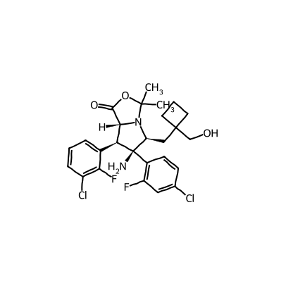 CC1(C)OC(=O)[C@H]2[C@H](c3cccc(Cl)c3F)[C@@](N)(c3ccc(Cl)cc3F)[C@H](CC3(CO)CCC3)N21